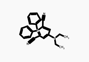 CCN(CC)C1=CC(C#N)=P(c2ccccc2)(c2ccccc2)C(C#N)=C1